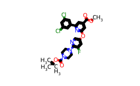 COC(=O)c1cc(Oc2cnc(N3CCN(C(=O)OC(C)(C)C)CC3)c(F)c2)nc(-c2cc(Cl)cc(Cl)c2)c1